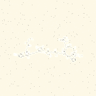 N=C(N)NCCCC1NC(=O)C(CCCCNC(=O)CCN2C(=O)CC(SCC(NC(=O)CCCCCNC(=O)[C@H](Cc3ccc(O)cc3)NC(=O)CCCC(=O)NCCN)C(N)=O)C2=O)NC(=O)C(Cc2ccccc2)NC(=O)C(CC(=O)O)NC(=O)CNC1=O